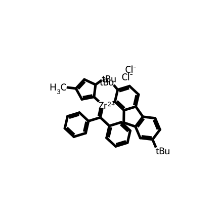 CC1=CC(C(C)(C)C)[C]([Zr+2](=[C](c2ccccc2)c2ccccc2)[c]2c(C(C)(C)C)ccc3c2Cc2cc(C(C)(C)C)ccc2-3)=C1.[Cl-].[Cl-]